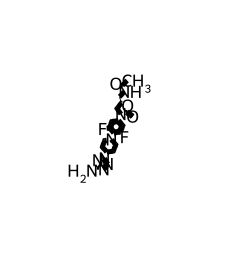 CC(=O)NC[C@H]1CN(c2cc(F)c(N3CCC(n4nnc(N)n4)CC3)c(F)c2)C(=O)O1